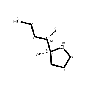 C[C@@H](CCO)[C@]1(C)CCCO1